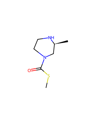 CSC(=O)N1CCN[C@@H](C)C1